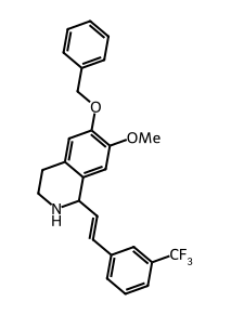 COc1cc2c(cc1OCc1ccccc1)CCNC2C=Cc1cccc(C(F)(F)F)c1